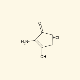 Cl.NC1=C(O)CCC1=O